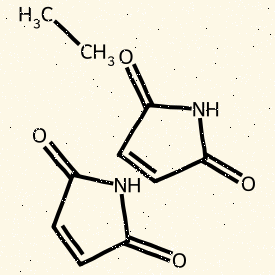 CC.O=C1C=CC(=O)N1.O=C1C=CC(=O)N1